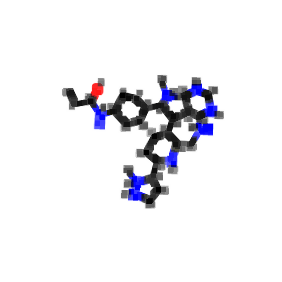 C=CC(=O)Nc1ccc(-c2c3c4c(ncnc4n2C)NCc2nc(-c4ccnn4C)ccc2-3)cc1